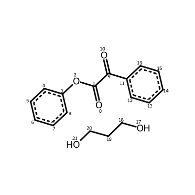 O=C(Oc1ccccc1)C(=O)c1ccccc1.OCCCO